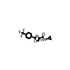 O=C(NC1CC1)c1coc(-c2ccc(C(F)(F)F)cc2)n1